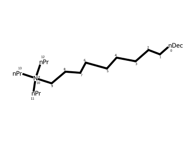 CCCCCCCCCCCCCCCCCCC[N+](CCC)(CCC)CCC